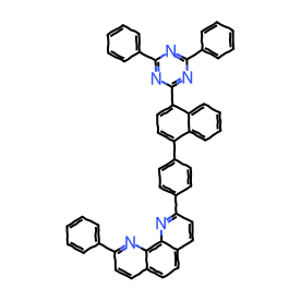 c1ccc(-c2ccc3ccc4ccc(-c5ccc(-c6ccc(-c7nc(-c8ccccc8)nc(-c8ccccc8)n7)c7ccccc67)cc5)nc4c3n2)cc1